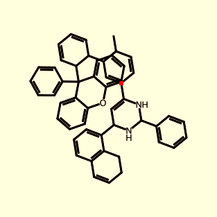 CC1C=CC(C2=CC(c3cccc4c3CCC=C4)NC(c3ccccc3)N2)=CC1C1C=CC=CC1C1(c2ccccc2)c2ccccc2Oc2ccccc21